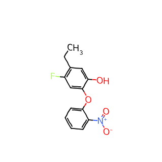 CCc1cc(O)c(Oc2ccccc2[N+](=O)[O-])cc1F